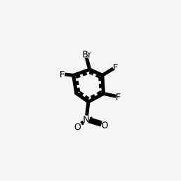 O=[N+]([O-])c1cc(F)c(Br)c(F)c1F